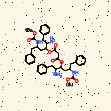 CC(C)(C)OC(=O)NC(Cc1ccccc1)CC(OC(=O)CC(=O)OC(CC(Cc1ccccc1)NC(=O)OC(C)(C)C)C(N)Cc1ccccc1)C(N)Cc1ccccc1